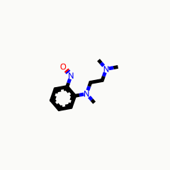 CN(C)CCN(C)c1ccccc1N=O